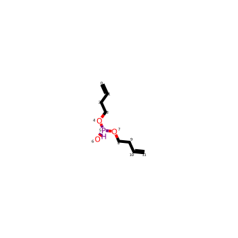 C=CCCO[PH](=O)OCCC=C